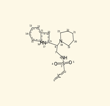 C=C=CS(=O)(=O)NCC(c1cc2ccccc2[nH]1)N1CCCCC1